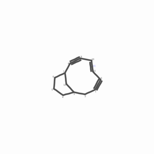 C1#CCC2CCCC(C#C/C=C/1)C2